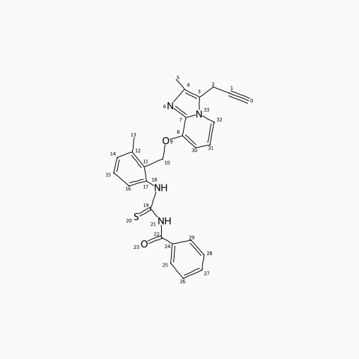 C#CCc1c(C)nc2c(OCc3c(C)cccc3NC(=S)NC(=O)c3ccccc3)cccn12